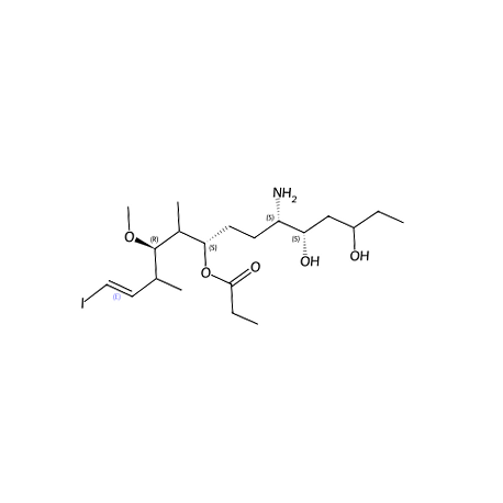 CCC(=O)O[C@@H](CC[C@H](N)[C@@H](O)CC(O)CC)C(C)[C@H](OC)C(C)/C=C/I